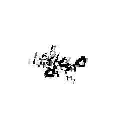 Cc1nn(-c2ccccc2)c2ncc(-c3nc(O)c(N(C)C)c(O)n3)c(OCc3ccccc3F)c12